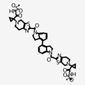 CS(=O)(=O)NC(=O)C1(N2CCc3nc(C(=O)N4CCc5c(-c6cccc7c6CCN7C(=O)c6nc7c(s6)CN(C6(C(=O)NS(C)(=O)=O)CC6)CC7)cccc54)sc3C2)CC1